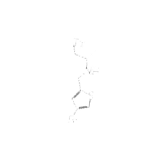 CC(C)C[C@H](C)NCc1cc(Br)cs1